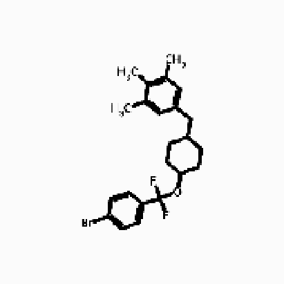 Cc1cc(CC2CCC(OC(F)(F)c3ccc(Br)cc3)CC2)cc(C)c1C